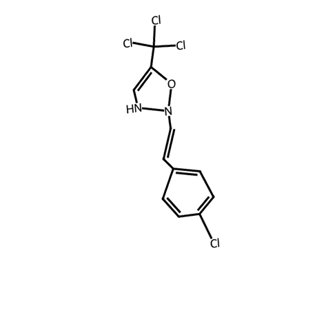 Clc1ccc(/C=C/N2NC=C(C(Cl)(Cl)Cl)O2)cc1